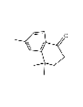 Cc1ccc2c(c1)C(C)(C)CCC2=O